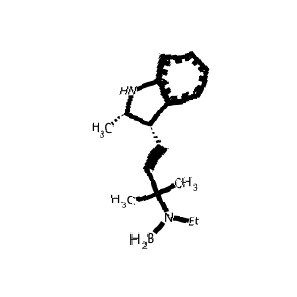 BN(CC)C(C)(C)/C=C/[C@H]1c2ccccc2N[C@H]1C